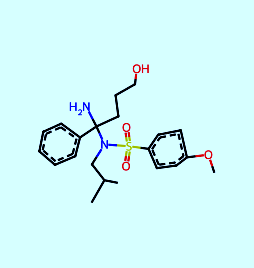 COc1ccc(S(=O)(=O)N(CC(C)C)C(N)(CCCO)c2ccccc2)cc1